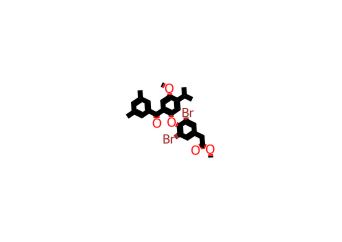 COC(=O)Cc1cc(Br)c(Oc2cc(C(C)C)c(OC)cc2C(=O)c2cc(C)cc(C)c2)c(Br)c1